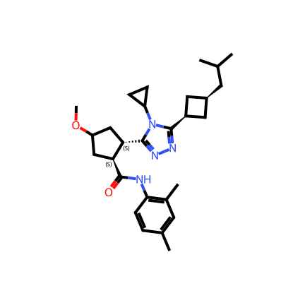 COC1C[C@H](C(=O)Nc2ccc(C)cc2C)[C@@H](c2nnc([C@H]3C[C@@H](CC(C)C)C3)n2C2CC2)C1